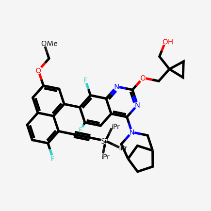 COCOc1cc(-c2c(F)cc3c(N4CC5CCC(C5)C4)nc(OCC4(CO)CC4)nc3c2F)c2c(C#C[Si](C(C)C)(C(C)C)C(C)C)c(F)ccc2c1